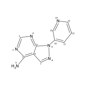 Nc1ncnc2c1cnn2-c1cccnc1